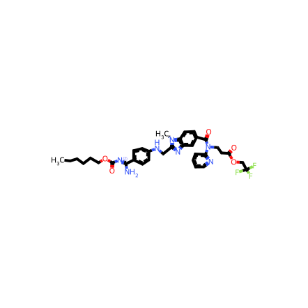 CCCCCCOC(=O)/N=C(\N)c1ccc(NCc2nc3cc(C(=O)N(CCC(=O)OCC(F)(F)F)c4ccccn4)ccc3n2C)cc1